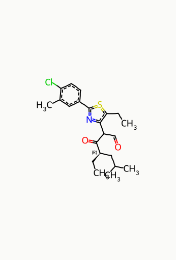 CCc1sc(-c2ccc(Cl)c(C)c2)nc1C(C=O)C(=O)[C@H](CC)CC(C)C